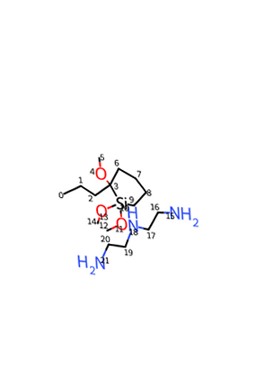 CCCC1(OC)CCCC[Si]1(OC)OC.NCCNCCN